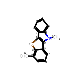 Cn1c2ccccc2c2sc3c(C=O)cccc3c21